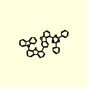 c1ccc(-c2nc(-c3ccccc3)nc(-c3cccc4oc5cc(-c6cccc7c6sc6c(-n8c9ccccc9c9ccccc98)cccc67)ccc5c34)n2)cc1